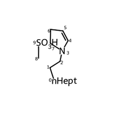 CCCCCCCCCN1C=CCC1.CS(=O)(=O)O